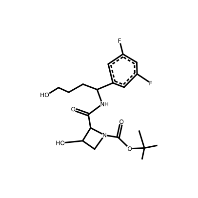 CC(C)(C)OC(=O)N1CC(O)C1C(=O)NC(CCCO)c1cc(F)cc(F)c1